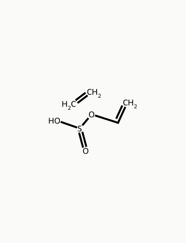 C=C.C=COS(=O)O